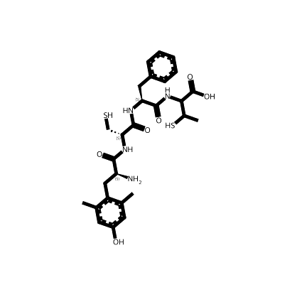 Cc1cc(O)cc(C)c1C[C@H](N)C(=O)N[C@H](CS)C(=O)N[C@@H](Cc1ccccc1)C(=O)NC(C(=O)O)C(C)S